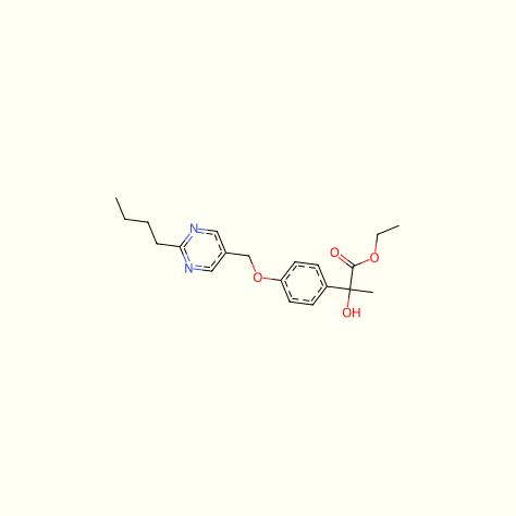 CCCCc1ncc(COc2ccc(C(C)(O)C(=O)OCC)cc2)cn1